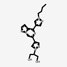 CCCCn1cc(-c2nc(-c3cnn(C(CO)CO)c3)cn3nccc23)cn1